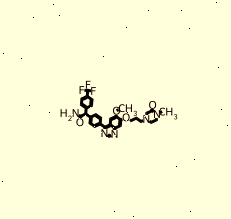 COc1cc2c(-c3ccc(C(C(N)=O)c4ccc(C(F)(F)F)cc4)cc3)ncnc2cc1OCCCN1CCN(C)C(=O)C1